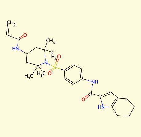 C=CC(=O)NC1CC(C)(C)N(S(=O)(=O)c2ccc(NC(=O)c3cc4c([nH]3)CCCC4)cc2)C(C)(C)C1